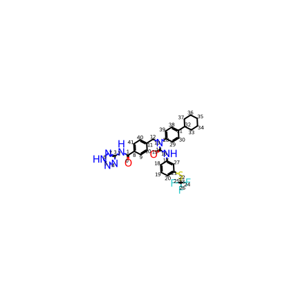 O=C(Nc1nn[nH]n1)c1ccc(CN(C(=O)Nc2cccc(SC(F)(F)F)c2)c2ccc(C3CCCCC3)cc2)cc1